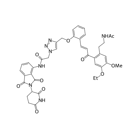 CCOc1cc(C(=O)/C=C/c2ccccc2OCc2cn(CC(=O)Nc3cccc4c3C(=O)N(C3CCC(=O)NC3=O)C4=O)nn2)c(CCNC(C)=O)cc1OC